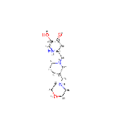 O=c1cc(CN2CCCC(CN3CCOCC3)C2)[nH]cc1O